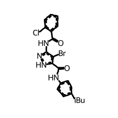 CCC(C)c1ccc(NC(=O)c2[nH]nc(NC(=O)c3ccccc3Cl)c2Br)cc1